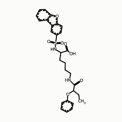 CCC(Oc1ccccc1)C(=O)NCCCCC(NS(=O)(=O)c1ccc2oc3ccccc3c2c1)C(=O)O